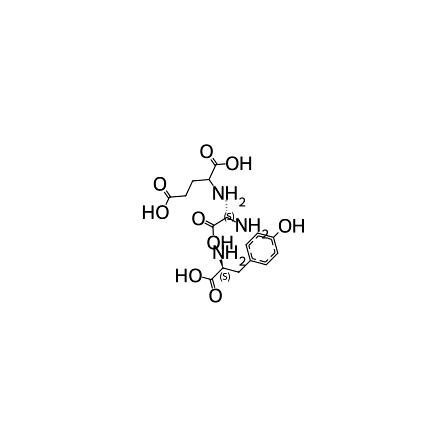 C[C@H](N)C(=O)O.NC(CCC(=O)O)C(=O)O.N[C@@H](Cc1ccc(O)cc1)C(=O)O